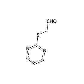 O=[C]CSc1ncccn1